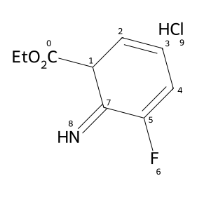 CCOC(=O)C1C=CC=C(F)C1=N.Cl